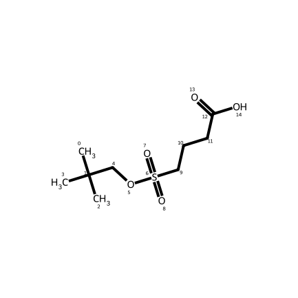 CC(C)(C)COS(=O)(=O)CCCC(=O)O